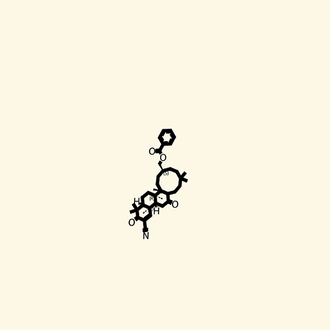 CC1(C)CCC2C(=O)C[C@@H]3[C@@]4(C)C=C(C#N)C(=O)C(C)(C)[C@@H]4CC[C@@]3(C)[C@]2(C)CC[C@@H](COC(=O)c2ccccc2)CC1